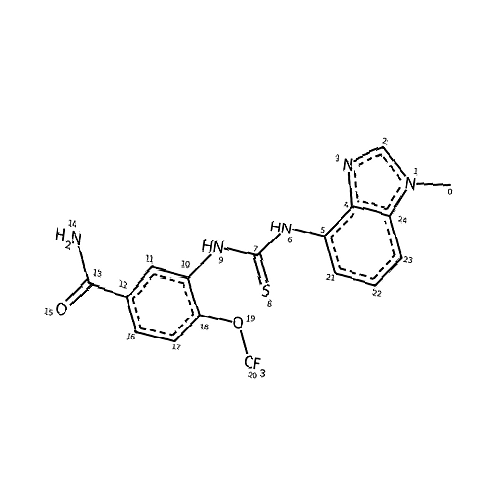 Cn1cnc2c(NC(=S)Nc3cc(C(N)=O)ccc3OC(F)(F)F)cccc21